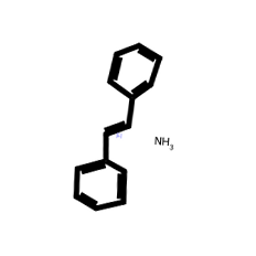 C(=C\c1ccccc1)/c1ccccc1.N